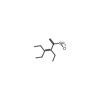 C=C([SiH2]Cl)C(CC)=C(CC)CC